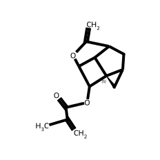 C=C(C)C(=O)OC1C2OC(=C)C3CC4C[C@@]41C32